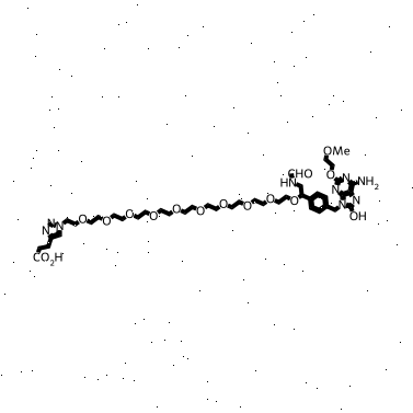 COCCOc1nc(N)c2nc(O)n(Cc3ccc(C(CNC=O)OCCOCCOCCOCCOCCOCCOCCOCCOCCOCCn4cc(CCC(=O)O)nn4)cc3)c2n1